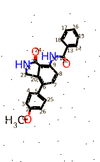 COc1ccc(-c2ccc(NC(=O)c3ccccc3)c3c2CNC3=O)cc1